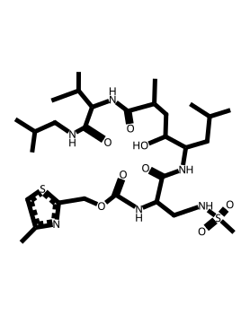 Cc1csc(COC(=O)NC(CNS(C)(=O)=O)C(=O)NC(CC(C)C)C(O)CC(C)C(=O)NC(C(=O)NCC(C)C)C(C)C)n1